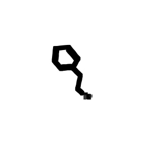 [Te]CCc1ccccc1